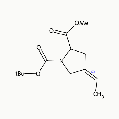 C/C=C1/CC(C(=O)OC)N(C(=O)OC(C)(C)C)C1